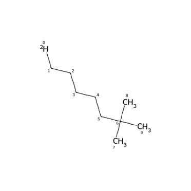 [2H]CCCCCC(C)(C)C